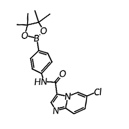 CC1(C)OB(c2ccc(NC(=O)c3cnc4ccc(Cl)cn34)cc2)OC1(C)C